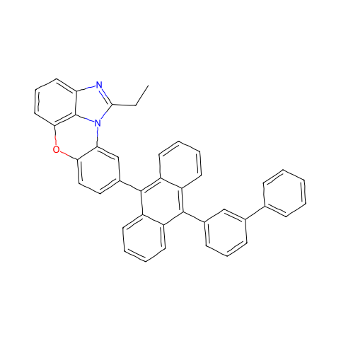 CCc1nc2cccc3c2n1-c1cc(-c2c4ccccc4c(-c4cccc(-c5ccccc5)c4)c4ccccc24)ccc1O3